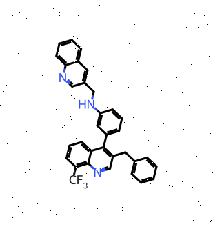 FC(F)(F)c1cccc2c(-c3cccc(NCc4cnc5ccccc5c4)c3)c(Cc3ccccc3)cnc12